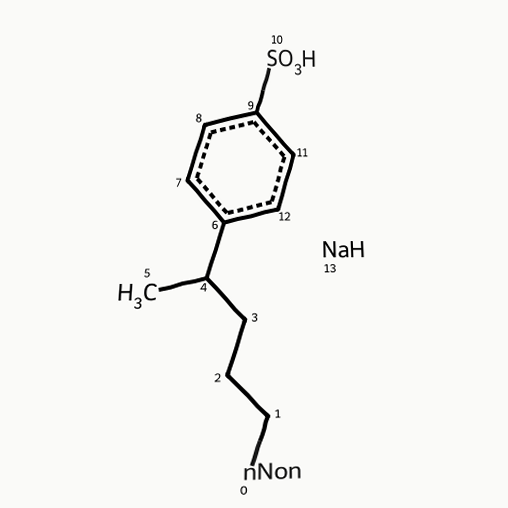 CCCCCCCCCCCCC(C)c1ccc(S(=O)(=O)O)cc1.[NaH]